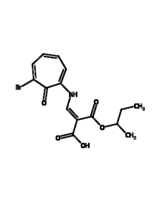 CCC(C)OC(=O)C(=CNc1ccccc(Br)c1=O)C(=O)O